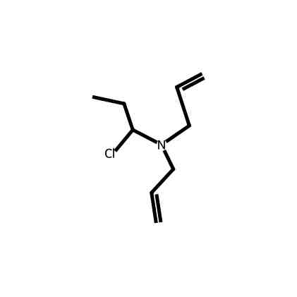 C=CCN(CC=C)C(Cl)CC